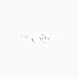 CCOC(=O)[C@@H]1C[C@@H]1c1ccc(C(F)(F)F)c(NC(=O)c2ccc(CCOCc3ccccc3)n2[C@@H](C)CC)c1